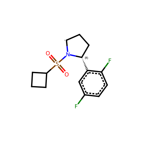 O=S(=O)(C1CCC1)N1[CH]CC[C@@H]1c1cc(F)ccc1F